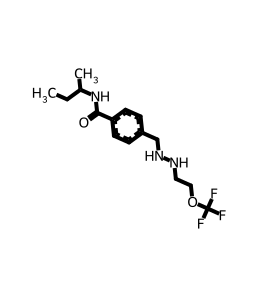 CCC(C)NC(=O)c1ccc(CNNCCOC(F)(F)F)cc1